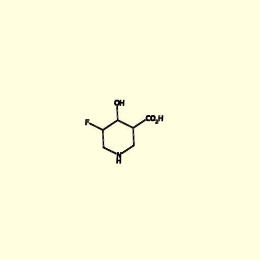 O=C(O)C1CNCC(F)C1O